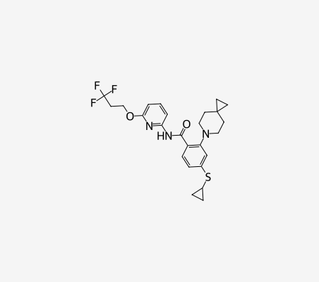 O=C(Nc1cccc(OCCC(F)(F)F)n1)c1ccc(SC2CC2)cc1N1CCC2(CC1)CC2